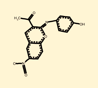 CC(=O)c1cc2cc([N+](=O)[O-])ccc2o/c1=N\c1ccc(O)cc1